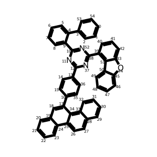 c1ccc(-c2ccccc2-c2nc(-c3ccc(-c4cc5ccccc5c5ccc6ccccc6c45)cc3)nc(-c3cccc4oc5ccccc5c34)n2)cc1